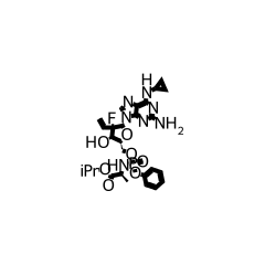 C=C[C@@]1(F)[C@H](O)[C@@H](COP(=O)(N[C@@H](C)C(=O)OC(C)C)Oc2ccccc2)O[C@H]1n1cnc2c(NC3CC3)nc(N)nc21